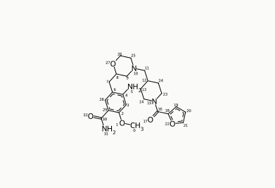 COc1cc(N)c(CC2CN(CC3CCN(C(=O)c4ccco4)CC3)CCO2)cc1C(N)=O